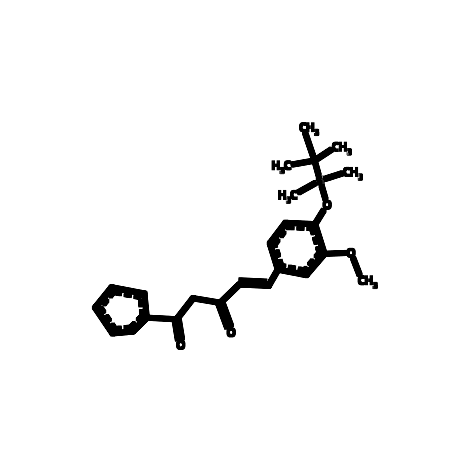 COc1cc(/C=C/C(=O)CC(=O)c2ccccc2)ccc1O[Si](C)(C)C(C)(C)C